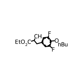 CCCCOc1c(F)cc(CC(C)C(=O)OCC)cc1F